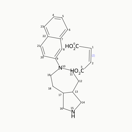 O=C(O)/C=C\C(=O)O.c1ccc2cc(N3CCC4CNCC4CC3)ccc2c1